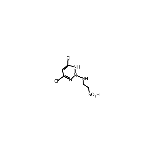 O=S(=O)(O)CCNN1N=C(Cl)C=C(Cl)N1